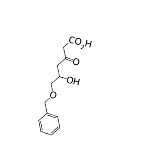 O=C(O)CC(=O)CC(O)COCc1ccccc1